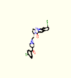 O=C(c1ccc(F)cc1)C1CCN(CC[C@@H]2CCCN2C(=O)c2cc3ccc(F)cc3[nH]2)CC1